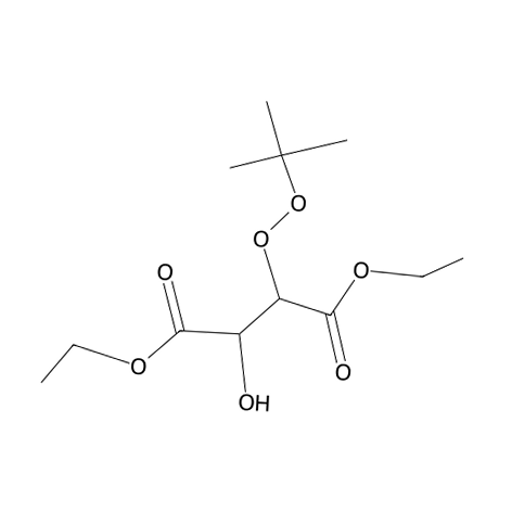 CCOC(=O)C(O)C(OOC(C)(C)C)C(=O)OCC